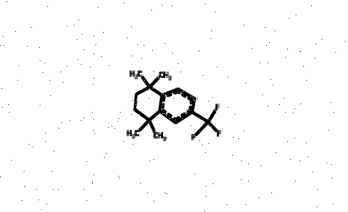 CC1(C)CCC(C)(C)c2cc(C(F)(F)F)[c]cc21